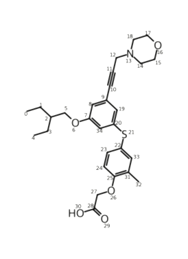 CCC(CC)COc1cc(C#CCN2CCOCC2)cc(Sc2ccc(OCC(=O)O)c(C)c2)c1